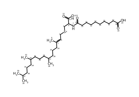 C/C(=C\CSCC(NC(=O)CCCCCCCCC(=O)O)C(=O)O)CCCC(C)CCCC(C)CCCC(C)C